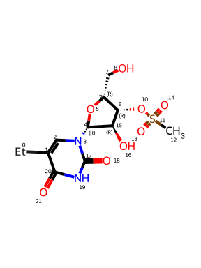 CCc1cn([C@@H]2O[C@H](CO)[C@H](OS(C)(=O)=O)[C@H]2O)c(=O)[nH]c1=O